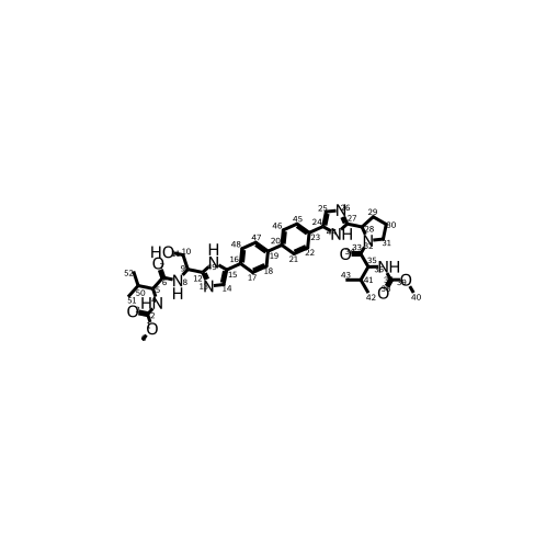 COC(=O)NC(C(=O)NC(CO)c1ncc(-c2ccc(-c3ccc(-c4cnc(C5CCCN5C(=O)C(NC(=O)OC)C(C)C)[nH]4)cc3)cc2)[nH]1)C(C)C